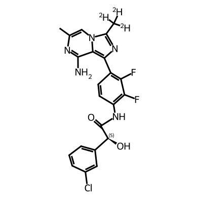 [2H]C([2H])([2H])c1nc(-c2ccc(NC(=O)[C@@H](O)c3cccc(Cl)c3)c(F)c2F)c2c(N)nc(C)cn12